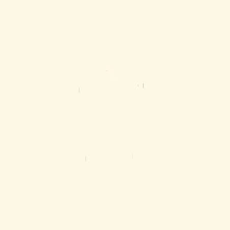 CC(=O)c1cc(C)c(Cl)cc1F